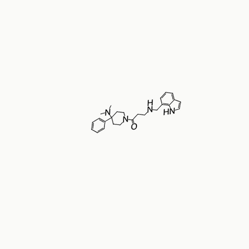 CN(C)C1(c2ccccc2)CCN(C(=O)CCNCc2cccc3cc[nH]c23)CC1